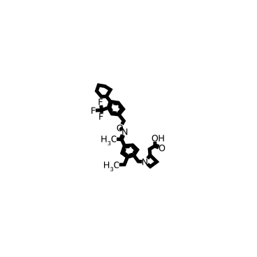 CCc1cc(/C(C)=N/OCc2ccc(C3CCCCC3)c(C(F)(F)F)c2)ccc1CN1CCC1CC(=O)O